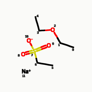 CCOCC.CCS(=O)(=O)[O-].[Na+]